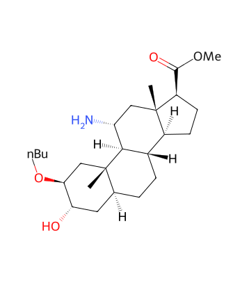 CCCCO[C@H]1C[C@@]2(C)[C@@H](CC[C@@H]3[C@@H]2[C@H](N)C[C@]2(C)[C@@H](C(=O)OC)CC[C@@H]32)C[C@@H]1O